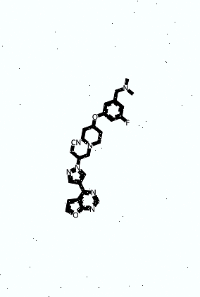 CN(C)Cc1cc(F)cc(OC2CCN(CC(CC#N)n3cc(-c4ncnc5occc45)cn3)CC2)c1